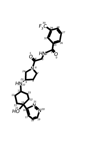 O=C(NCC(=O)N1CC[C@H](NC2CCC(O)(c3cccnn3)CC2)C1)c1cccc(C(F)(F)F)c1